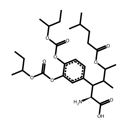 CCC(C)OC(=O)Oc1ccc(C(C(C)C(C)OC(=O)CCC(C)C)[C@H](N)C(=O)O)cc1OC(=O)OC(C)CC